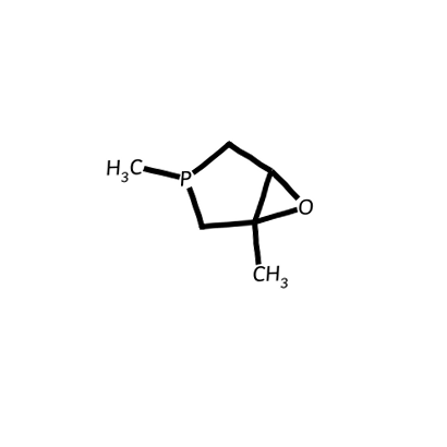 CP1CC2OC2(C)C1